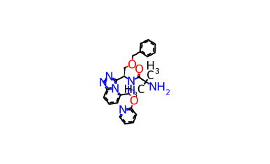 CC(C)(N)C(=O)N[C@H](COCc1ccccc1)c1nnc2cccc(COc3ccccn3)n12